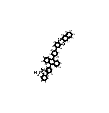 C[Si]1(C)c2ccccc2-c2ccc(-c3c4ccccc4c(-c4ccc(-c5ccc6c(c5)Oc5cc7ccccc7cc5O6)cc4)c4ccccc34)cc21